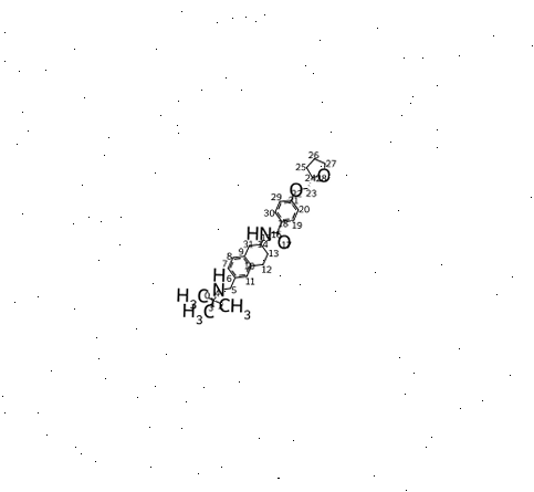 CC(C)(C)NCc1ccc2c(c1)CC[C@H](NC(=O)c1ccc(OC[C@@H]3CCCO3)cc1)C2